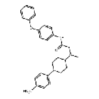 CN(CC(=O)Nc1ccc(Oc2ccccc2)cc1)C1CCN(c2ccc(C(=O)O)cn2)CC1